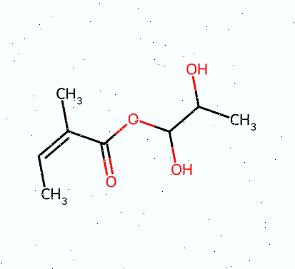 CC=C(C)C(=O)OC(O)C(C)O